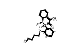 CC1=C2C=CC=CC2[S+]([O-])[N+](c2ccccc2OCCCCBr)(C(C)C)C1=O